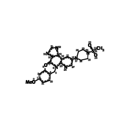 COc1ccc(Cn2c(=O)n3ncnc3c3cc(N4CCN(S(C)(=O)=O)CC4)cnc32)cc1